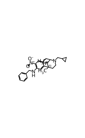 C[C@H]1C2Cc3cc([N+](=O)[O-])c(NCc4ccccc4)cc3[C@@]1(C)CCN2CC1CC1